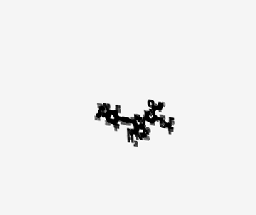 C=CC(=O)N1C[C@@H](n2nc(C#Cc3c(F)cc4c(ncn4C)c3F)c3c(N)ncnc32)C[C@@H]1COC(F)F